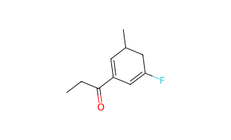 CCC(=O)C1=CC(C)CC(F)=C1